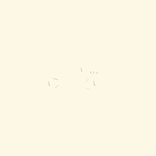 COC(=O)C(CCSc1ccccc1C)Oc1ccc(C(F)(F)F)cc1